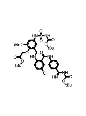 COc1cc(NS(=O)(=O)NC(=O)OC(C)(C)C)cc(CNc2ccc(Cl)cc2C(=O)Nc2ccc(C(=N)NC(=O)OC(C)(C)C)cc2)c1OCC(=O)OC(C)(C)C